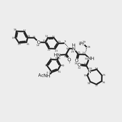 CC(=O)Nc1ccc(NC(=O)[C@H](Cc2ccc(OCc3ccccc3)cc2)NC(=O)[C@H](CC(C)C)NC(=O)N2CCCCCC2)cc1